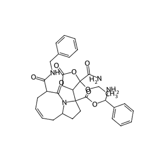 CCOC1(C(N)=O)OC(=O)CC1C1(C(=O)OC(N)c2ccccc2)CCC2CC=CCC(C(=O)NCc3ccccc3)C(=O)N21